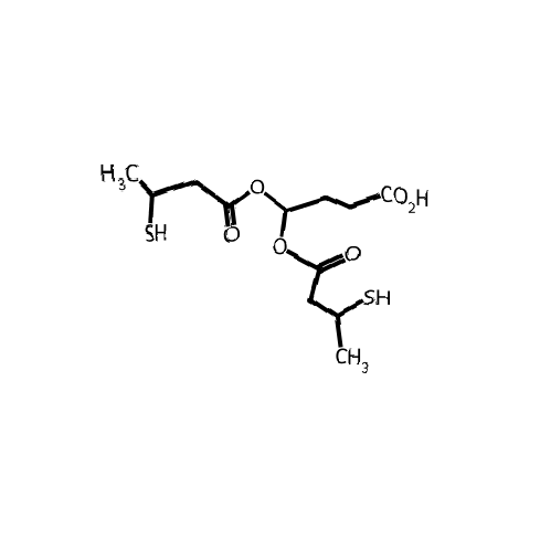 CC(S)CC(=O)OC(CCC(=O)O)OC(=O)CC(C)S